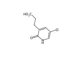 O=C(O)CCc1cc(Cl)c[nH]c1=O